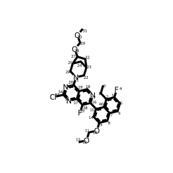 CCc1c(F)ccc2cc(OCOC)cc(-c3ncc4c(N5CC6CC(C5)C(OCOC)C6)nc(Cl)nc4c3F)c12